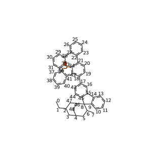 CCC1CC2CC(C)C3(c4ccccc4-c4cc(-c5ccc(-c6ccccc6-c6ccccc6)c6sc7ccccc7c56)ccc43)C(C1)C2